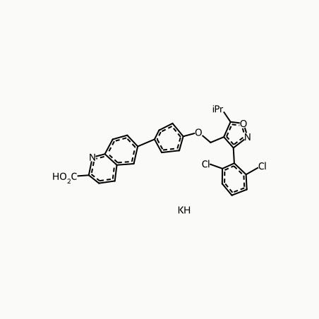 CC(C)c1onc(-c2c(Cl)cccc2Cl)c1COc1ccc(-c2ccc3nc(C(=O)O)ccc3c2)cc1.[KH]